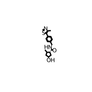 Cc1ncsc1-c1ccc(CNC(=O)[C@@H]2C[C@@H](O)CC2C)cc1